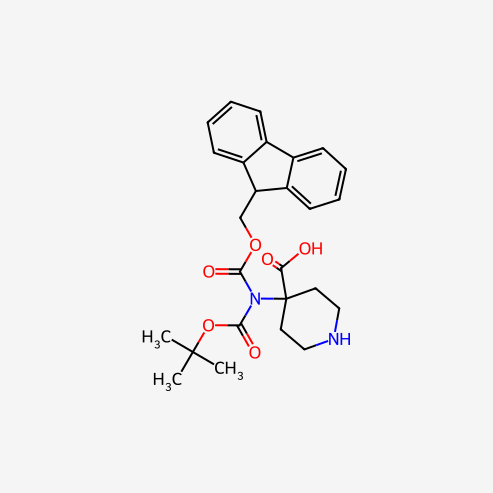 CC(C)(C)OC(=O)N(C(=O)OCC1c2ccccc2-c2ccccc21)C1(C(=O)O)CCNCC1